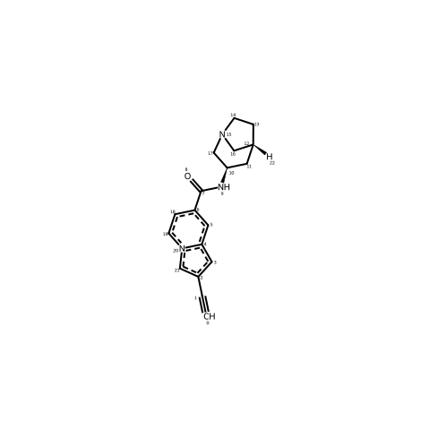 C#Cc1cc2cc(C(=O)N[C@@H]3C[C@H]4CCN(C4)C3)ccn2c1